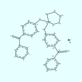 O=C(c1ccccc1)c1ccc(C[N+]2(Cc3ccc(C(=O)c4ccccc4)cc3)CCOCC2)cc1.[Br-]